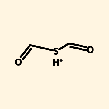 O=CSC=O.[H+]